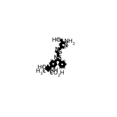 C[C@]1(O)C[C@](NC(=O)O)(c2ccc(-c3nc(-c4cnc(-c5cnc(N)c(CO)c5)s4)sc3-c3ccccc3)cc2)C1